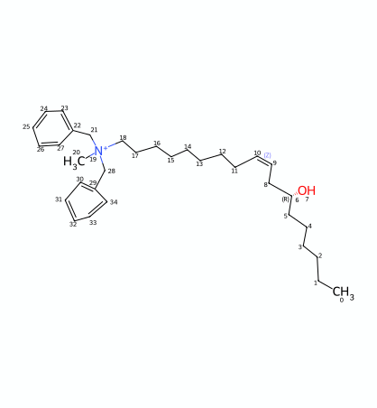 CCCCCC[C@@H](O)C/C=C\CCCCCCCC[N+](C)(Cc1ccccc1)Cc1ccccc1